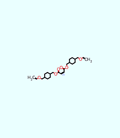 C=COCC1CCC(COC(=O)/C=C\C(=O)OCC2CCC(COC=C)CC2)CC1